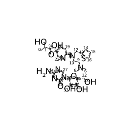 CC(O)C(=O)O.CN(C)CCN(Cc1cccs1)c1ccccn1.Nc1ncn([C@@H]2O[C@H](CO)[C@@H](O)[C@H]2O)c(=O)n1